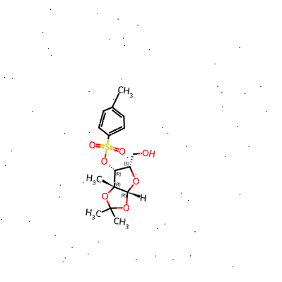 Cc1ccc(S(=O)(=O)O[C@@H]2[C@H](CO)O[C@@H]3OC(C)(C)O[C@@]32C)cc1